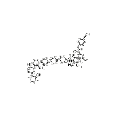 C#Cc1ccc(CNC(=O)[C@@H]2C[C@@H](O)CN2C(=O)[C@@H](NC(=O)N2CCC(N3CCC(c4cnc(N5CCc6[nH]c7nnc(-c8ccccc8O)cc7c6[C@@H]5C)nc4)CC3)CC2)C(C)(C)C)cc1